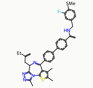 C=C(CC)CC1N=C(c2ccc(-c3ccc(C(=C)NCc4ccc(SC)c(F)c4)cc3)cc2)c2c(sc(C)c2C)-n2c(C)nnc21